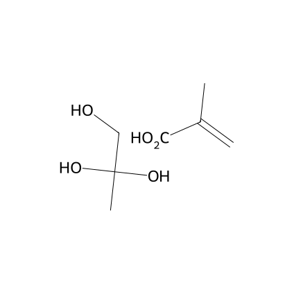 C=C(C)C(=O)O.CC(O)(O)CO